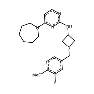 COc1ccc(CN2CC(Nc3nccc(N4CCCCCC4)n3)C2)cc1F